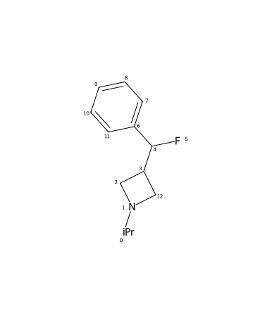 CC(C)N1CC(C(F)c2ccccc2)C1